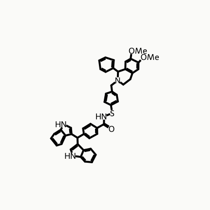 COc1cc2c(cc1OC)C(c1ccccc1)N(Cc1ccc(SNC(=O)c3ccc(C(c4c[nH]c5ccccc45)c4c[nH]c5ccccc45)cc3)cc1)CC2